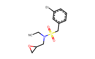 CCc1cccc(CS(=O)(=O)N(CC#N)CC2CO2)c1